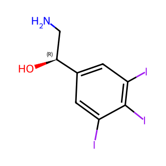 NC[C@H](O)c1cc(I)c(I)c(I)c1